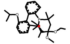 CCOC1(OC)CC(C)(C)P(c2ccccc2-c2c(OC(C)C)cccc2OC(C)C)C(C)(C)C1